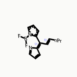 CCC/C=C/C(=C1\C=CC=N1)c1cccn1B(F)F